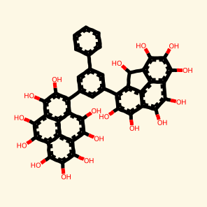 Oc1c(O)c2c3c(c1O)c(O)c(O)c1c(O)c(O)c(-c4cc(-c5ccccc5)cc(-c5c(O)c(O)c6c(O)c(O)c7c(O)c(O)c(O)c8c(O)c(O)c5c6c78)c4)c(c13)C2O